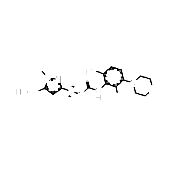 CC(C)c1ccc(N2CCOCC2)c(C(C)C)c1NC(=O)NS(=O)(=O)c1cc(C(=O)O)n(C)n1